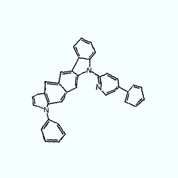 c1ccc(-c2ccc(-n3c4ccccc4c4cc5cc6ccn(-c7ccccc7)c6cc5cc43)nc2)cc1